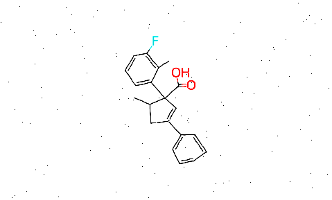 Cc1c(F)cccc1C1(C(=O)O)C=C(c2ccccc2)CC1C